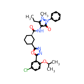 CCc1c(NC(=O)[C@@H]2CCCC(c3nnc(-c4cc(Cl)ccc4OC(C)C)o3)C2)c(=O)n(-c2ccccc2)n1C